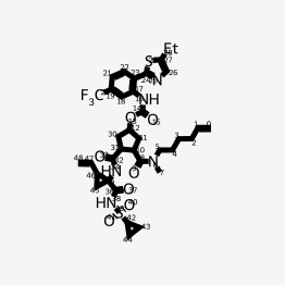 C=CCCCCN(C)C(=O)C1CC(OC(=O)Nc2cc(C(F)(F)F)ccc2-c2ncc(CC)s2)CC1C(=O)NC1(C(=O)NS(=O)(=O)C2CC2)CC1C=C